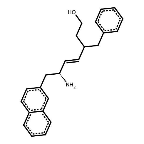 N[C@@H](C=CC(CCO)Cc1ccccc1)Cc1ccc2ccccc2c1